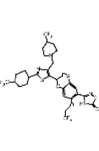 CCC(Oc1cc(OCC(F)(F)F)c(-c2noc(=O)[nH]2)cc1F)c1sc(C2CCC(C(F)(F)F)CC2)nc1CN1CCC(C(F)(F)F)CC1